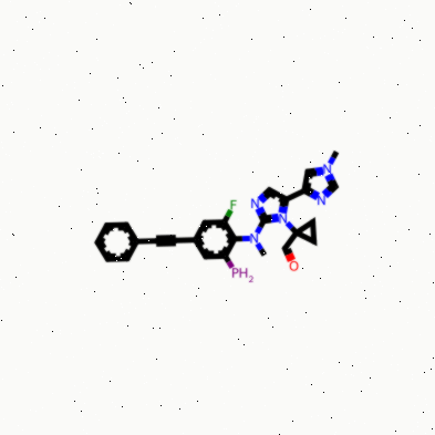 CN(c1c(F)cc(C#Cc2ccccc2)cc1P)c1ncc(-c2cn(C)cn2)n1C1(C=O)CC1